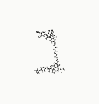 CC(C)C(NC(=O)COCCCOCCCCOc1ccc(N2C(=S)N(c3ccc(C#N)c(Cl)c3)C(=O)C2(C)C)cc1)C(=O)N1CCC[C@H]1C(=O)NCc1ccc(-c2cncs2)cc1